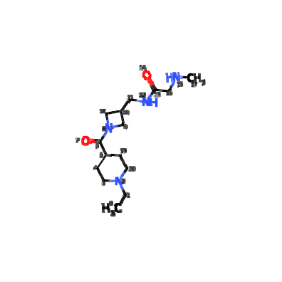 CCN1CCC(C(=O)N2CC(CNC(=O)CNC)C2)CC1